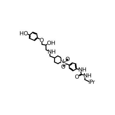 CC(C)CNC(=O)Nc1ccc(S(=O)(=O)N2CCC(CNCC(O)COc3ccc(O)cc3)CC2)cc1